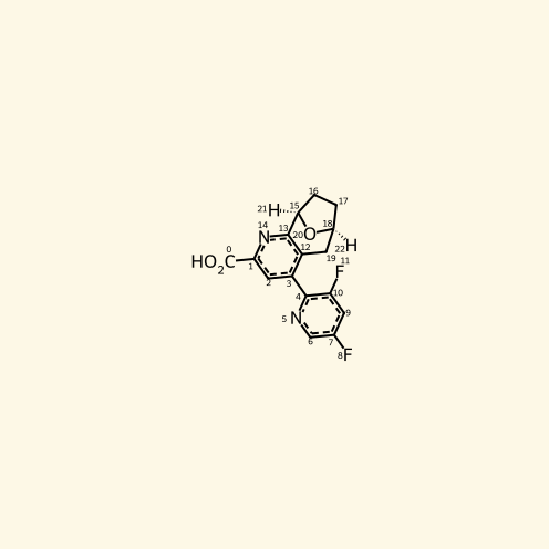 O=C(O)c1cc(-c2ncc(F)cc2F)c2c(n1)[C@H]1CC[C@@H](C2)O1